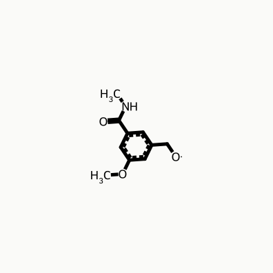 CNC(=O)c1cc(C[O])cc(OC)c1